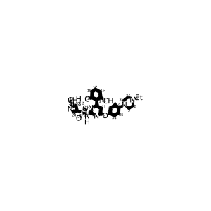 CCN1CCN(c2ccc(Oc3cc(-c4c(C)cccc4C)nc(NS(=O)(=O)c4cnn(C)c4)n3)cc2)CC1